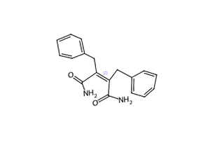 NC(=O)/C(Cc1ccccc1)=C(/Cc1ccccc1)C(N)=O